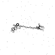 NC(=O)c1nn(CCOCCOCCOCCOCCNc2cccc3c2C(=O)N(C2CCC(=O)NC2=O)C3=O)cc1[N+](=O)[O-]